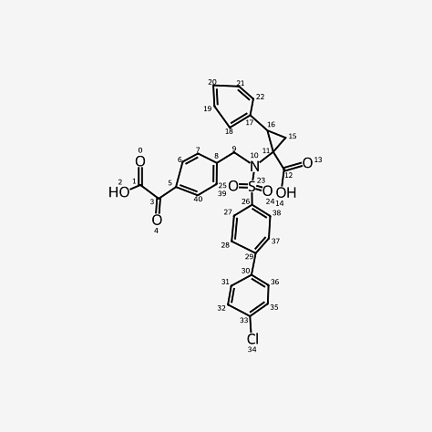 O=C(O)C(=O)c1ccc(CN(C2(C(=O)O)CC2c2ccccc2)S(=O)(=O)c2ccc(-c3ccc(Cl)cc3)cc2)cc1